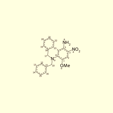 COc1cc([N+](=O)[O-])c(N)cc1N(Cc1ccccc1)Cc1ccccc1